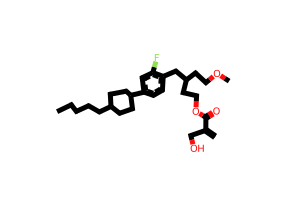 C=C(CO)C(=O)OCCC(CCOC)Cc1ccc(C2CCC(CCCCC)CC2)cc1F